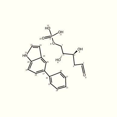 O=CC[C@H](O)[C@H](O)COP(=O)(O)O.c1ccc(-c2ccc3[nH]ccc3c2)cc1